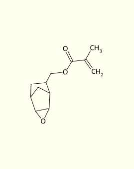 C=C(C)C(=O)OCC1CC2CC1C1OC21